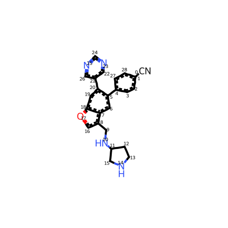 N#Cc1ccc(-c2cc3c(CNC4CCNC4)coc3cc2-c2cncnc2)cc1